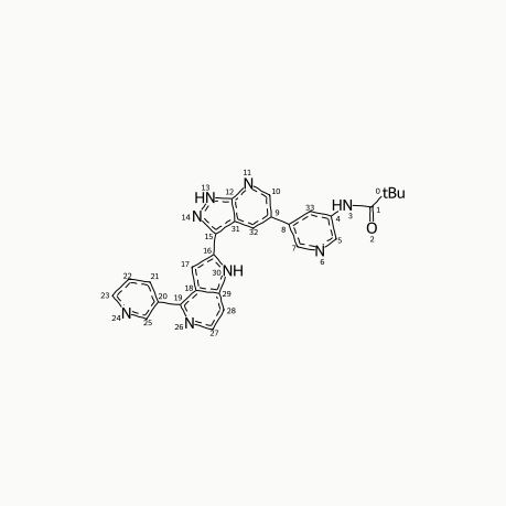 CC(C)(C)C(=O)Nc1cncc(-c2cnc3[nH]nc(-c4cc5c(-c6cccnc6)nccc5[nH]4)c3c2)c1